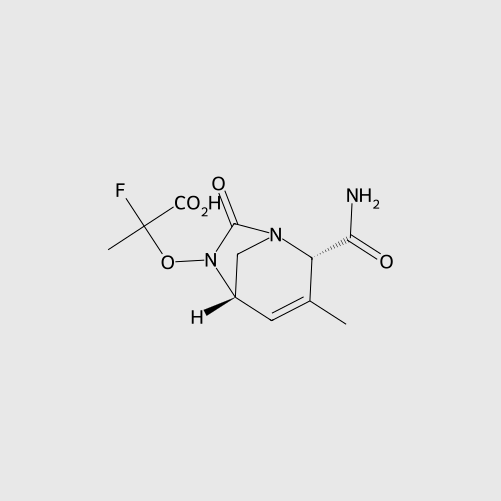 CC1=C[C@H]2CN(C(=O)N2OC(C)(F)C(=O)O)[C@@H]1C(N)=O